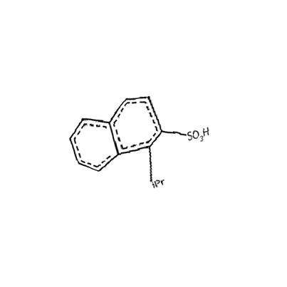 CC(C)c1c(S(=O)(=O)O)ccc2ccccc12